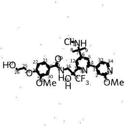 COc1cc(-c2cc(C(C)(C)NCl)cc(C(O)(CNC(=O)c3ccc(OCCO)c(OC)c3)C(F)(F)F)n2)ccn1